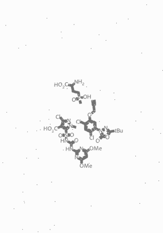 C#CCOc1cc(-n2nc(C(C)(C)C)oc2=O)c(Cl)cc1Cl.COc1cc(OC)nc(NC(=O)NS(=O)(=O)c2c(C(=O)O)c(Cl)nn2C)n1.CP(=O)(O)CCC(N)C(=O)O